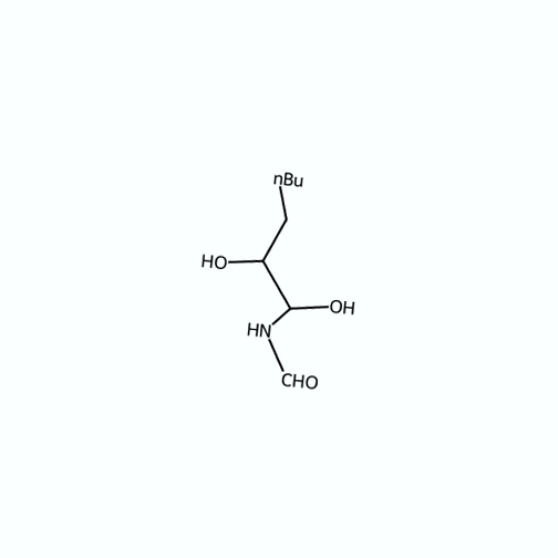 CCCCCC(O)C(O)NC=O